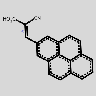 N#C/C(=C\c1cc2ccc3cccc4ccc(c1)c2c34)C(=O)O